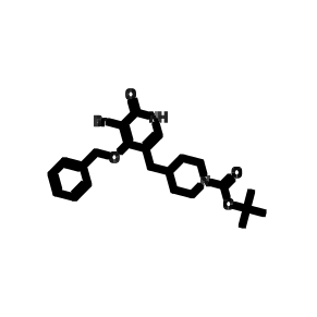 CC(C)(C)OC(=O)N1CCC(Cc2c[nH]c(=O)c(Br)c2OCc2ccccc2)CC1